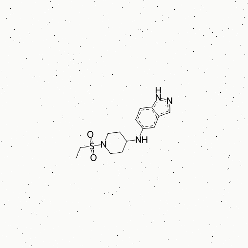 CCS(=O)(=O)N1CCC(Nc2ccc3[nH]ncc3c2)CC1